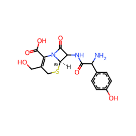 NC(C(=O)NC1C(=O)N2C(C(=O)O)=C(CO)CS[C@H]12)c1ccc(O)cc1